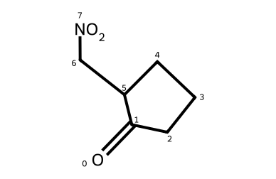 O=C1CCCC1C[N+](=O)[O-]